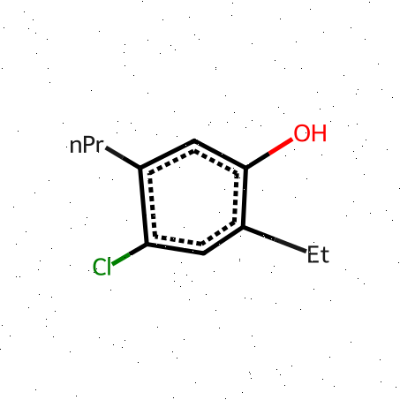 CCCc1cc(O)c(CC)cc1Cl